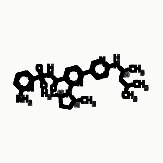 CC(C)C[C@H](C)Nc1ccc(-c2ccc(C(=O)NS(=O)(=O)c3cccc(N)n3)c(N3[C@H](C)CC[C@@H]3C)n2)cn1